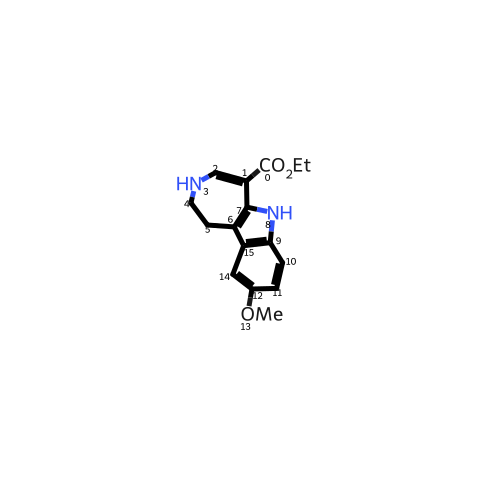 CCOC(=O)C1=CNCCc2c1[nH]c1ccc(OC)cc21